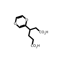 O=C(O)CCC(CC(=O)O)C1=COC=CO1